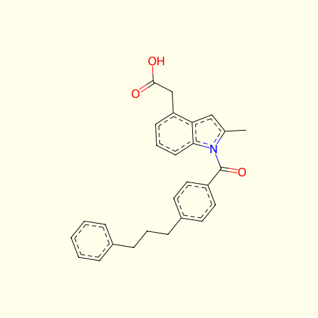 Cc1cc2c(CC(=O)O)cccc2n1C(=O)c1ccc(CCCc2ccccc2)cc1